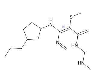 C=N/C(NC1CCC(CCC)C1)=C(/SC)C(=C)NCNC